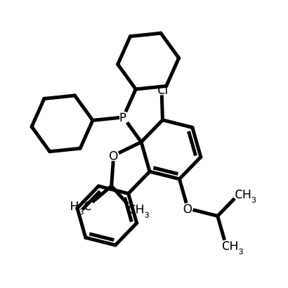 CC(C)OC1=C(c2ccccc2)C(OC(C)C)(P(C2CCCCC2)C2CCCCC2)C(Cl)C=C1